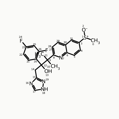 C[S+]([O-])c1ccc2nc(C(C)(C)C(O)(Cc3nc[nH]n3)c3ccc(F)cc3F)ccc2c1